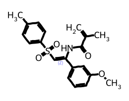 C=C(C)C(=O)N/C(=C\S(=O)(=O)c1ccc(C)cc1)c1cccc(OC)c1